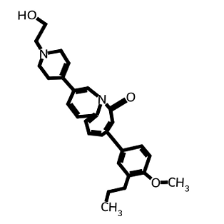 CCCc1cc(C2=C\C(=O)N3C=C(C4=CCN(CCO)CC4)C=C\C3=C/C=C/2)ccc1OC